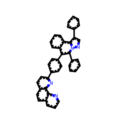 c1ccc(-c2cnn3c(-c4ccccc4)c(-c4ccc(-c5ccc6ccc7cccnc7c6n5)cc4)c4ccccc4c23)cc1